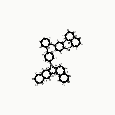 c1ccc(-c2ccc3c(c2)-c2cccc4cccc(c24)S3)c(-c2ccc(-n3c4cc5ccccc5cc4c4c5ccccc5ccc43)cc2)c1